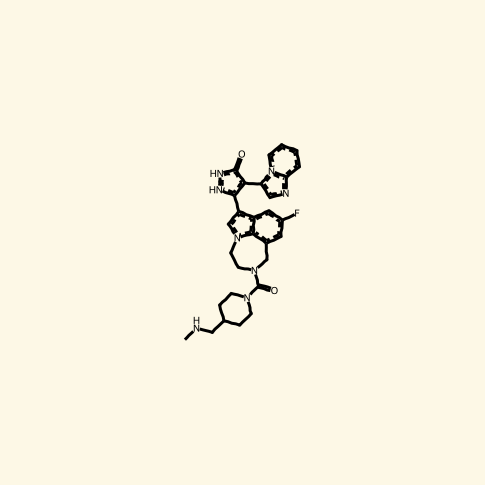 CNCC1CCN(C(=O)N2CCn3cc(-c4[nH][nH]c(=O)c4-c4cnc5ccccn45)c4cc(F)cc(c43)C2)CC1